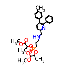 COC(=O)C(C)OP(=O)(CCCNCc1ccc(-c2ccc(C)cc2)c(-c2ccccc2)n1)OC(C)C(=O)OC